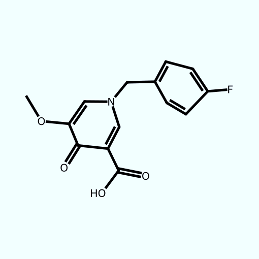 COc1cn(Cc2ccc(F)cc2)cc(C(=O)O)c1=O